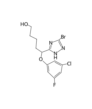 OCCCCC(Oc1cc(F)cc(Cl)c1)c1nc(Br)n[nH]1